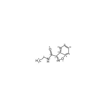 CCNC(=O)c1noc2cccnc12